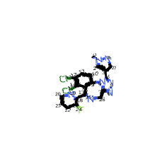 Cn1cc(-c2nnc3n2-c2ccc(Cl)c(Cl)c2C(c2ncccc2F)=NC3)cn1